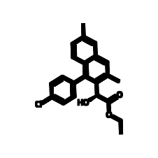 CCOC(=O)[C@@H](O)c1c(C)cc2cc(C)ccc2c1-c1ccc(Cl)cc1